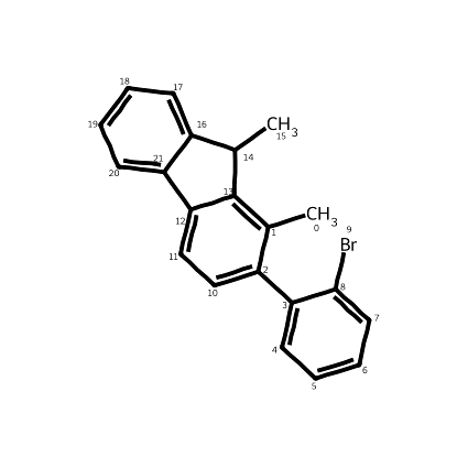 Cc1c(-c2ccccc2Br)ccc2c1C(C)c1ccccc1-2